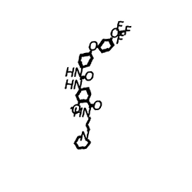 COc1cc(NC(=O)Nc2ccc(Oc3cccc(OC(F)(F)F)c3)cc2)ccc1C(=O)NCCCN1CCCCC1